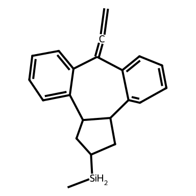 C=C=C1c2ccccc2C2CC([SiH2]C)CC2c2ccccc21